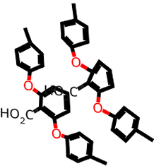 Cc1ccc(Oc2cccc(Oc3ccc(C)cc3)c2C(=O)O)cc1.Cc1ccc(Oc2cccc(Oc3ccc(C)cc3)c2C(=O)O)cc1